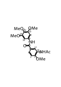 COc1ccc(C(=O)Nc2cc(OC)c(OC)c(OC)c2)cc1NC(C)=O